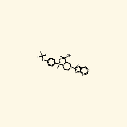 O=C(O)C1CN(c2nc3ncncc3s2)CCN1S(=O)(=O)c1ccc(OC(F)(F)F)cc1